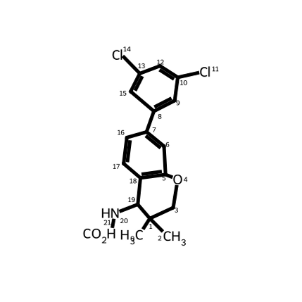 CC1(C)COc2cc(-c3cc(Cl)cc(Cl)c3)ccc2C1NC(=O)O